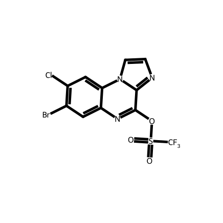 O=S(=O)(Oc1nc2cc(Br)c(Cl)cc2n2ccnc12)C(F)(F)F